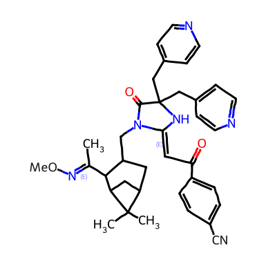 CO/N=C(\C)C1C(CN2C(=O)C(Cc3ccncc3)(Cc3ccncc3)N/C2=C\C(=O)c2ccc(C#N)cc2)CC2CC1C2(C)C